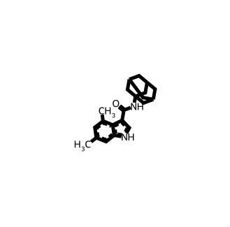 Cc1cc(C)c2c(C(=O)NC34CC5CC(CC(C5)C3)C4)c[nH]c2c1